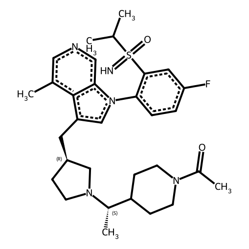 CC(=O)N1CCC([C@H](C)N2CC[C@@H](Cc3cn(-c4ccc(F)cc4S(=N)(=O)C(C)C)c4cncc(C)c34)C2)CC1